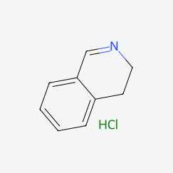 C1=NCCc2ccccc21.Cl